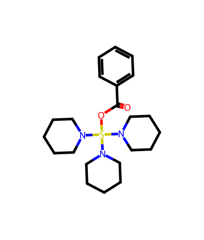 O=C(OS(N1CCCCC1)(N1CCCCC1)N1CCCCC1)c1ccccc1